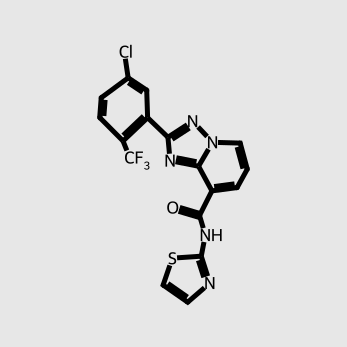 O=C(Nc1nccs1)c1cccn2nc(-c3cc(Cl)ccc3C(F)(F)F)nc12